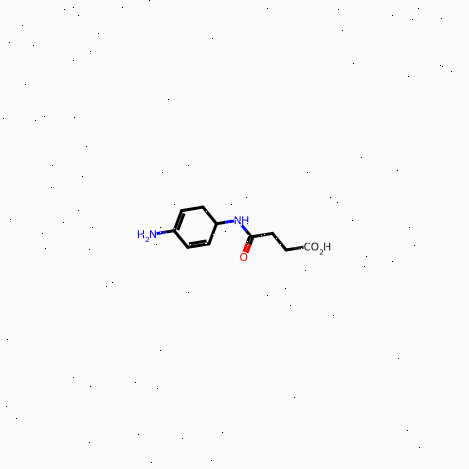 NC1=CCC(NC(=O)CCC(=O)O)C=C1